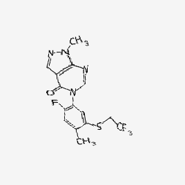 Cc1cc(F)c(-n2cnc3c(cnn3C)c2=O)cc1SCC(F)(F)F